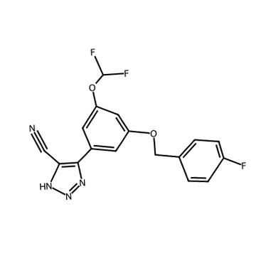 N#Cc1[nH]nnc1-c1cc(OCc2ccc(F)cc2)cc(OC(F)F)c1